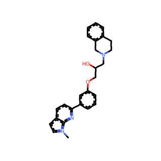 Cn1ccc2ccc(-c3cccc(OCC(O)CN4CCc5ccccc5C4)c3)nc21